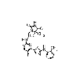 Cc1ccccc1Nc1ncc(-c2nc(NCCN3C(=O)NC(=O)C3(C)C)ncc2F)s1